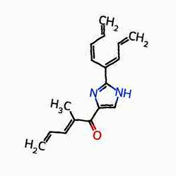 C=C/C=C\C(=C/C=C)c1nc(C(=O)/C(C)=C/C=C)c[nH]1